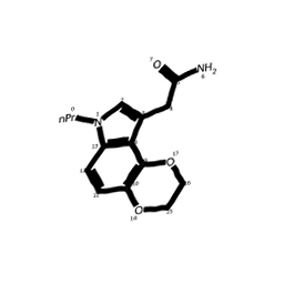 CCCn1cc(CC(N)=O)c2c3c(ccc21)OCCO3